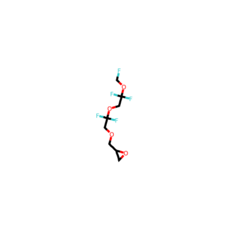 FCOC(F)(F)COC(F)(F)COCC1CO1